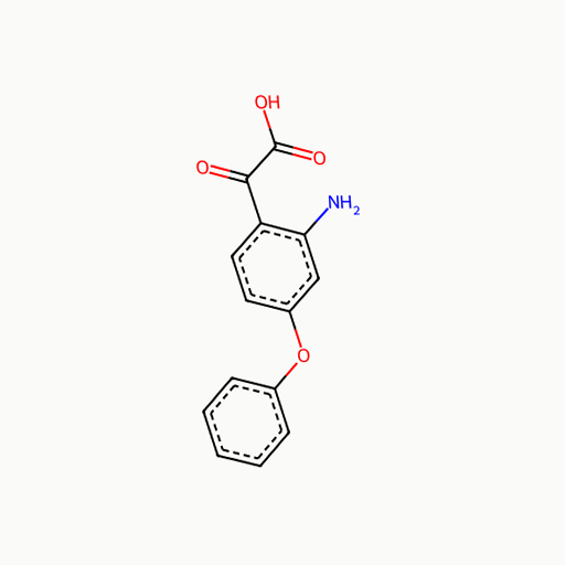 Nc1cc(Oc2ccccc2)ccc1C(=O)C(=O)O